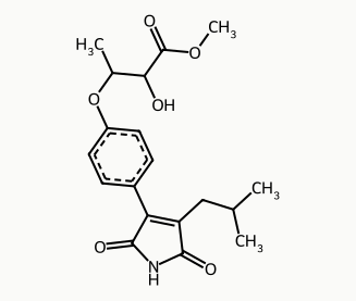 COC(=O)C(O)C(C)Oc1ccc(C2=C(CC(C)C)C(=O)NC2=O)cc1